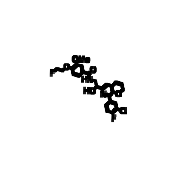 COc1cc(C(=O)NCC(O)c2cc3c(c(-c4ccc(F)c(Cl)c4)n2)OCC=C3)ccc1OCCF